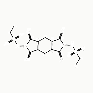 CCS(=O)(=O)ON1C(=O)C2CC3C(=O)N(OS(=O)(=O)CC)C(=O)C3CC2C1=O